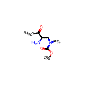 CCCN(CC(N)C(=O)OC)C(=O)OC(C)(C)C